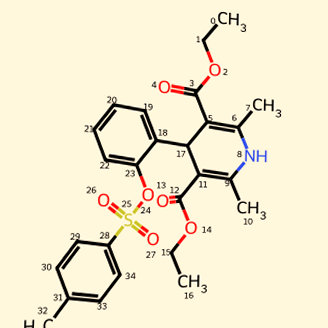 CCOC(=O)C1=C(C)NC(C)=C(C(=O)OCC)C1c1ccccc1OS(=O)(=O)c1ccc(C)cc1